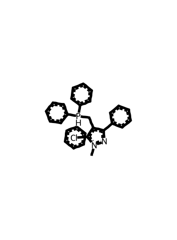 Cn1nc(-c2ccccc2)c(C[PH](c2ccccc2)(c2ccccc2)c2ccccc2)c1Cl